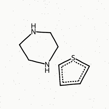 C1CNCCN1.c1ccsc1